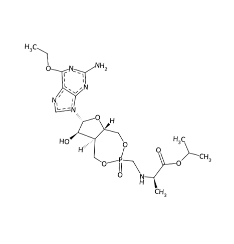 CCOc1nc(N)nc2c1ncn2[C@@H]1O[C@@H]2COP(=O)(CN[C@H](C)C(=O)OC(C)C)OC[C@H]2[C@H]1O